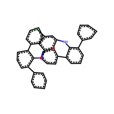 Clc1cc(Nc2c(-c3ccccc3)cccc2-c2ccccc2)cc(Nc2c(-c3ccccc3)cccc2-c2ccccc2)c1